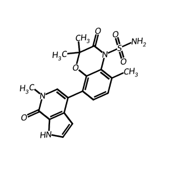 Cc1ccc(-c2cn(C)c(=O)c3[nH]ccc23)c2c1N(S(N)(=O)=O)C(=O)C(C)(C)O2